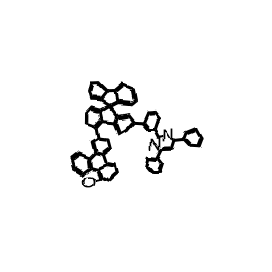 c1ccc(-c2cc(-c3ccccc3)nc(-c3cccc(-c4ccc5c(c4)C4(c6ccccc6-c6ccccc64)c4cccc(-c6ccc7c(c6)c6cccc8oc9cccc7c9c86)c4-5)c3)n2)cc1